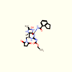 C=C1N[C@H]2[C@H](CN3C(=O)CCC3=O)N/C(=N\C(=O)OCC(Cl)(Cl)Cl)N3C[C@H](NC(=O)c4cccc5c4CCC5)[C@H](O)[C@]23N1